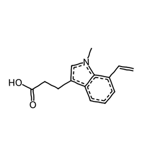 C=Cc1cccc2c(CCC(=O)O)cn(C)c12